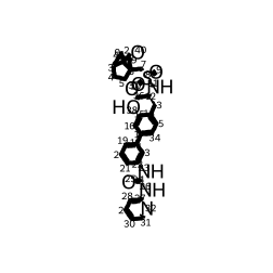 CC1(C)C2CCC1(CS(=O)(=O)N[C@@H](Cc1ccc(-c3cccc(NC(=O)Nc4ccccn4)c3)cc1)C(=O)O)C(=O)C2